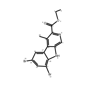 CCOC(=O)c1ncc2[nH]c3c(Br)cc(Br)cc3c2c1C